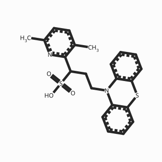 Cc1ccc(C)c(C(CCN2c3ccccc3Sc3ccccc32)S(=O)(=O)O)n1